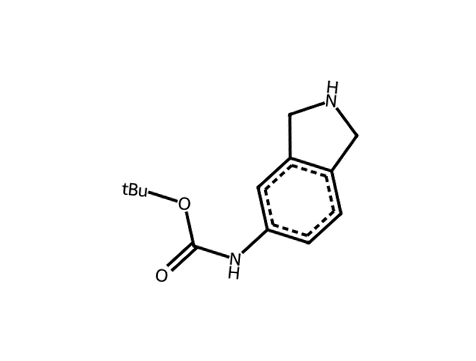 CC(C)(C)OC(=O)Nc1ccc2c(c1)CNC2